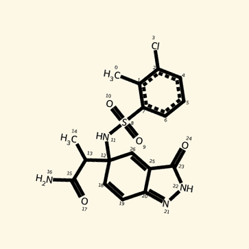 Cc1c(Cl)cccc1S(=O)(=O)NC1(C(C)C(N)=O)C=CC2=NNC(=O)C2=C1